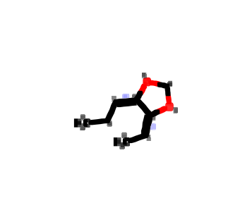 C/C=C1/OCO/C1=C/CC